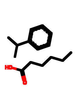 CC(C)c1ccccc1.CCCCCC(=O)O